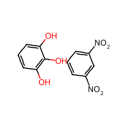 O=[N+]([O-])c1cccc([N+](=O)[O-])c1.Oc1cccc(O)c1O